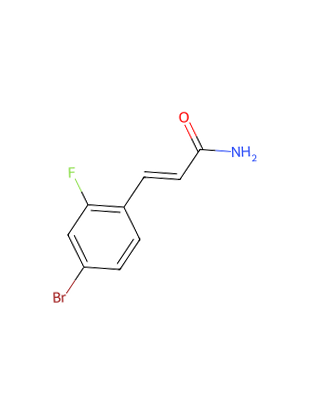 NC(=O)/C=C/c1ccc(Br)cc1F